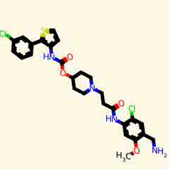 COc1cc(NC(=O)CCN2CCC(OC(=O)Nc3ccsc3-c3cccc(Cl)c3)CC2)c(Cl)cc1CN